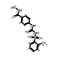 CCCNC(=O)c1ccc(NC(=O)NS(=O)(=O)c2ccccc2C)cc1